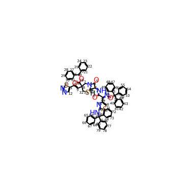 O=C(NC1C(=O)N2CC(C=Cc3cnns3)(C(=O)OC(c3ccccc3)c3ccccc3)CS[C@H]12)C(=NOC(c1ccccc1)(c1ccccc1)c1ccccc1)c1csc(NC(c2ccccc2)(c2ccccc2)c2ccccc2)n1